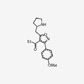 CCC(=O)c1c(-c2ccc(OC)cc2)noc1CC1CCCN1